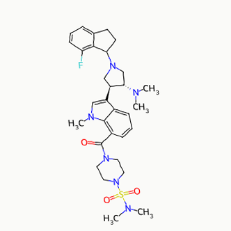 CN(C)[C@H]1CN(C2CCc3cccc(F)c32)C[C@@H]1c1cn(C)c2c(C(=O)N3CCN(S(=O)(=O)N(C)C)CC3)cccc12